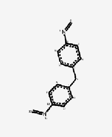 C=Nc1ccc(Cc2ccc(N=C)cc2)cc1